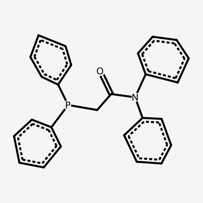 O=C(CP(c1ccccc1)c1ccccc1)N(c1ccccc1)c1ccccc1